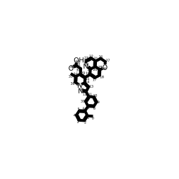 Cc1ccccc1-c1cccc(-c2cc3c(-c4ccc5c6c(ccnc46)CCO5)c(CC(=O)O)c(C)cn3n2)c1